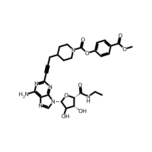 CCNC(=O)[C@H]1O[C@@H](n2cnc3c(N)nc(C#CCC4CCN(C(=O)Oc5ccc(C(=O)OC)cc5)CC4)nc32)C(O)[C@H]1O